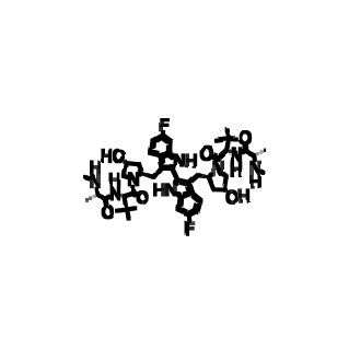 CN[C@@H](C)C(=O)N[C@H](C(=O)N1C[C@@H](O)C[C@H]1Cc1c(-c2[nH]c3cc(F)ccc3c2C[C@@H]2C[C@H](O)CN2C(=O)[C@@H](NC(=O)[C@H](C)NC)C(C)(C)C)[nH]c2cc(F)ccc12)C(C)(C)C